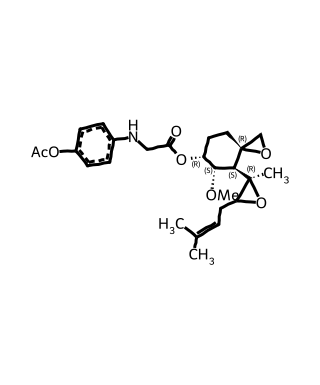 CO[C@@H]1[C@H](OC(=O)CNc2ccc(OC(C)=O)cc2)CC[C@]2(CO2)[C@H]1[C@@]1(C)OC1CC=C(C)C